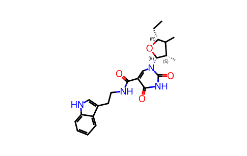 CC[C@H]1O[C@@H](n2cc(C(=O)NCCc3c[nH]c4ccccc34)c(=O)[nH]c2=O)[C@@H](C)C1C